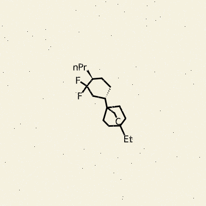 CCC[C@H]1CC[C@H](C23CCC(CC)(CC2)CC3)CC1(F)F